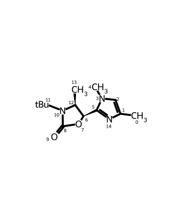 Cc1cn(C)c([C@H]2OC(=O)N(C(C)(C)C)[C@H]2C)n1